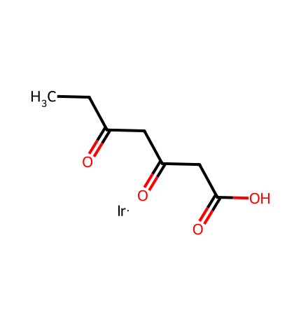 CCC(=O)CC(=O)CC(=O)O.[Ir]